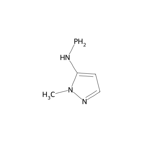 Cn1nccc1NP